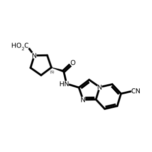 N#Cc1ccc2nc(NC(=O)[C@H]3CCN(C(=O)O)C3)cn2c1